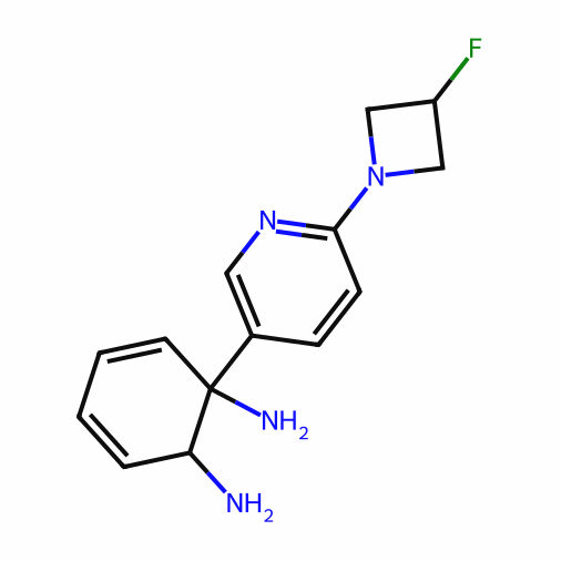 NC1C=CC=CC1(N)c1ccc(N2CC(F)C2)nc1